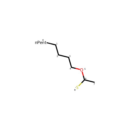 CCCCCCCCCOC(C)[S]